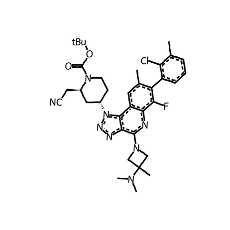 Cc1cccc(-c2c(C)cc3c(nc(N4CC(C)(N(C)C)C4)c4nnn([C@H]5CCN(C(=O)OC(C)(C)C)[C@H](CC#N)C5)c43)c2F)c1Cl